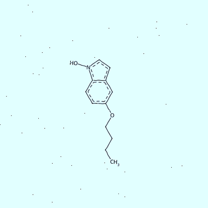 CCCCOc1ccc2c(ccn2O)c1